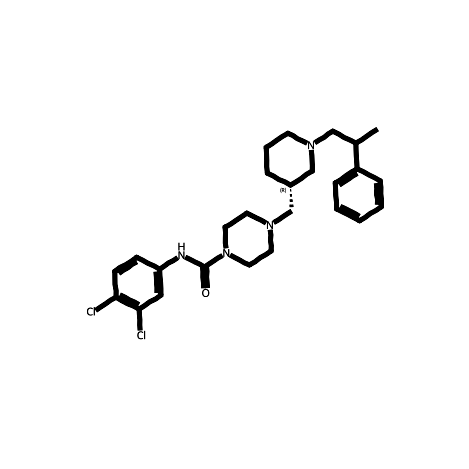 CC(CN1CCC[C@@H](CN2CCN(C(=O)Nc3ccc(Cl)c(Cl)c3)CC2)C1)c1ccccc1